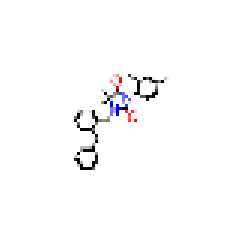 Cc1ccc(N2C(=O)N(CC3=CC=CCC3Cc3ccccc3)C(C)(C)C2=O)c(C)c1